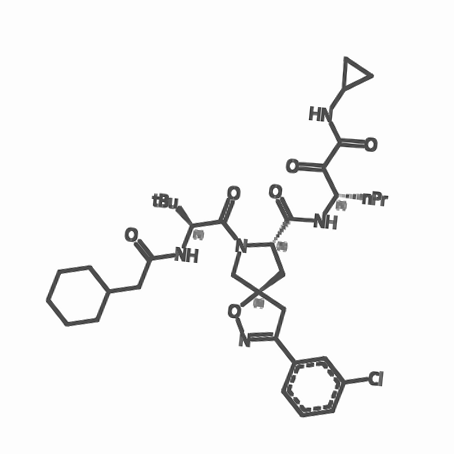 CCC[C@H](NC(=O)[C@@H]1C[C@]2(CC(c3cccc(Cl)c3)=NO2)CN1C(=O)[C@@H](NC(=O)CC1CCCCC1)C(C)(C)C)C(=O)C(=O)NC1CC1